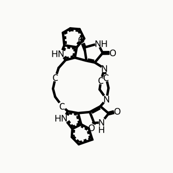 O=C1NC(=O)C2=C1c1c([nH]c3ccccc13)CCCCCc1[nH]c3ccccc3c1C1=C(C(=O)NC1=O)N1CCN2CC1